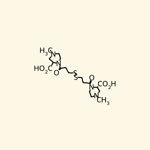 CN1CCN(C(=O)CCSSCCC(=O)N2CCN(C)CC2C(=O)O)C(C(=O)O)C1